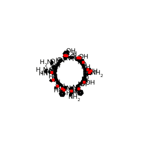 CCCC[C@H]1C(=O)N(C)[C@@H](CCCC)C(=O)N[C@@H](CCCNC(=N)N)C(=O)N[C@H](C(=O)NCC(N)=O)CSCC(=O)N[C@@H](Cc2ccc(O)cc2)C(=O)N(C)[C@@H](C)C(=O)N[C@H]2CC(O)=C3CC[C@@H](C(=O)N[C@@H](Cc4c[nH]cn4)C(=O)N[C@@H](CCCCN)C(=O)N4C[C@H](O)C[C@H]4C(=O)N[C@@H](Cc4c[nH]c5ccccc45)C(=O)N[C@@H](CCCCN)C(=O)N[C@@H](Cc4c[nH]c5ccccc45)C(=O)N1C)N3C2=O